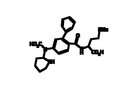 CSCCC(NC(=O)c1ccc(N(C(=O)O)C2CCCCN2)cc1-c1ccccc1)C(=O)O